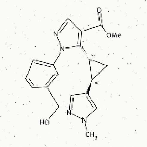 COC(=O)c1cnn(-c2cccc(CO)c2)c1[C@@H]1C[C@H]1c1cnn(C)c1